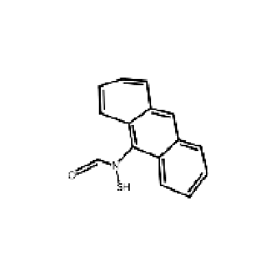 O=CN(S)c1c2ccccc2cc2ccccc12